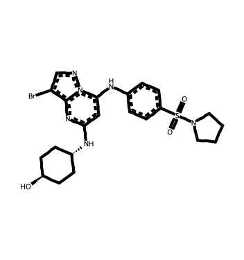 O=S(=O)(c1ccc(Nc2cc(N[C@H]3CC[C@H](O)CC3)nc3c(Br)cnn23)cc1)N1CCCC1